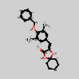 Cc1cc(/C=C2/OC3(CCCCC3)OC2=O)cc(C)c1OCc1ccccc1